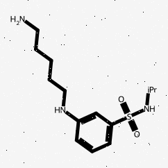 CC(C)NS(=O)(=O)c1cccc(NCCCCCN)c1